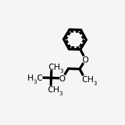 CC(COC(C)(C)C)Oc1ccccc1